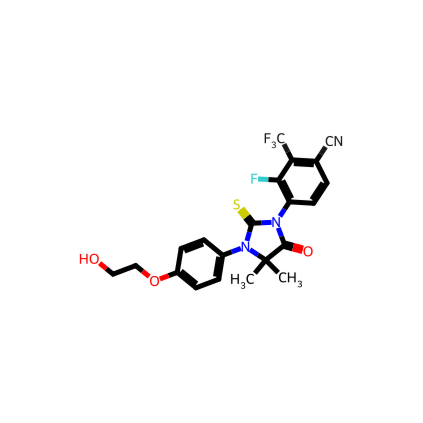 CC1(C)C(=O)N(c2ccc(C#N)c(C(F)(F)F)c2F)C(=S)N1c1ccc(OCCO)cc1